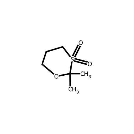 CC1(C)OCCCS1(=O)=O